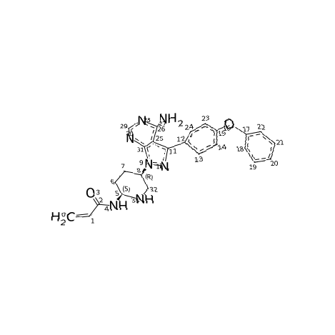 C=CC(=O)N[C@H]1CC[C@@H](n2nc(-c3ccc(Oc4ccccc4)cc3)c3c(N)ncnc32)CN1